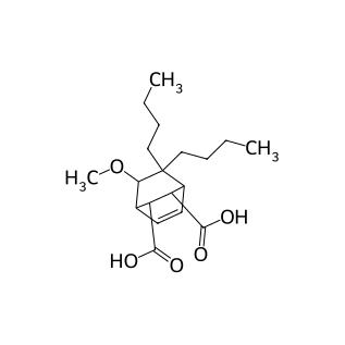 CCCCC1(CCCC)C2C=CC(C(C(=O)O)C2C(=O)O)C1OC